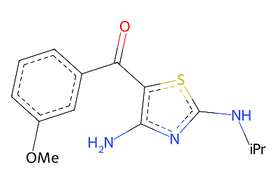 COc1cccc(C(=O)c2sc(NC(C)C)nc2N)c1